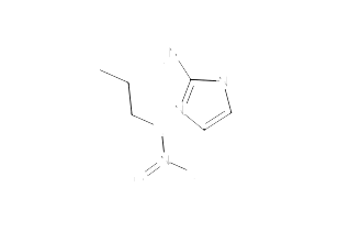 CCCO[N+](=O)[O-].Nc1ncc[nH]1